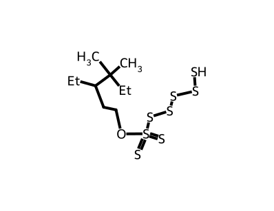 CCC(CCOS(=S)(=S)SSSSS)C(C)(C)CC